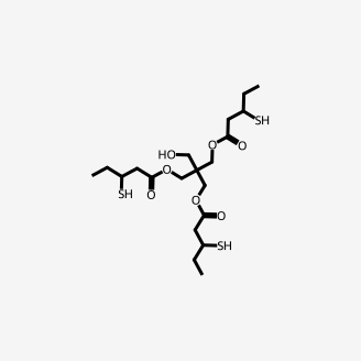 CCC(S)CC(=O)OCC(CO)(COC(=O)CC(S)CC)COC(=O)CC(S)CC